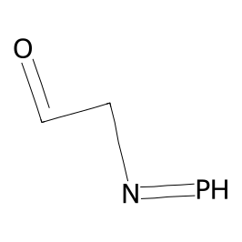 O=CCN=P